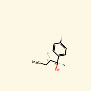 CNC[C@H](F)[C@](C)(O)c1ccc(F)cc1